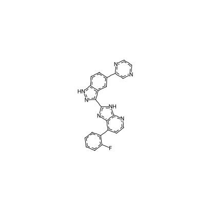 Fc1ccccc1-c1ccnc2[nH]c(-c3n[nH]c4ccc(-c5cnccn5)cc34)nc12